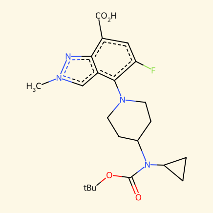 Cn1cc2c(N3CCC(N(C(=O)OC(C)(C)C)C4CC4)CC3)c(F)cc(C(=O)O)c2n1